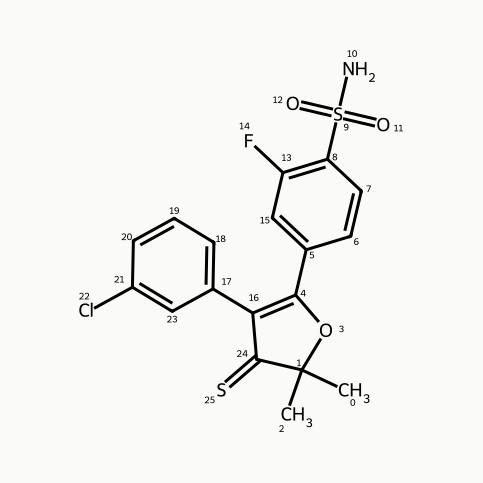 CC1(C)OC(c2ccc(S(N)(=O)=O)c(F)c2)=C(c2cccc(Cl)c2)C1=S